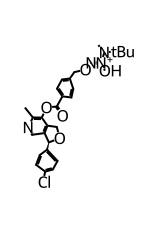 Cc1ncc2c(c1OC(=O)c1ccc(CO/N=[N+](\O)N(C)C(C)(C)C)cc1)CO[C@H]2c1ccc(Cl)cc1